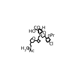 CCCc1cc(Cl)ccc1C1COc2ccc([C@@H](O)C(=O)O)cc2N(CC2CCC2C2CC(CCN(C)C(C)=O)CCO2)C1